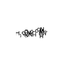 CC(=O)N1CCC[C@H]1c1nc2ccc(-c3ccc4c(ccc5nc([C@@H]6CCCN6)[nH]c54)c3)cc2[nH]1